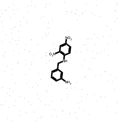 Nc1cccc(CNc2ccc([N+](=O)[O-])cc2[N+](=O)[O-])c1